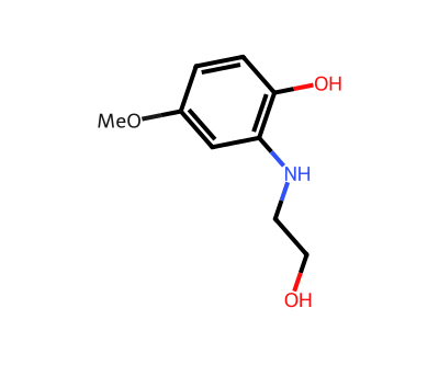 COc1ccc(O)c(NCCO)c1